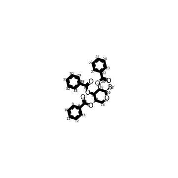 O=C(OC1[C@@H](OC(=O)c2ccccc2)CO[C@@H](Br)[C@H]1OC(=O)c1ccccc1)c1ccccc1